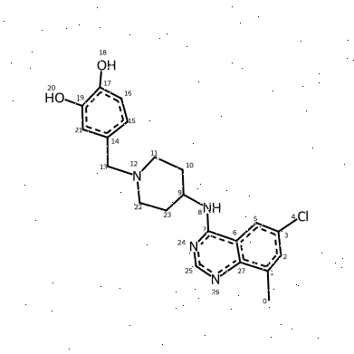 Cc1cc(Cl)cc2c(NC3CCN(Cc4ccc(O)c(O)c4)CC3)ncnc12